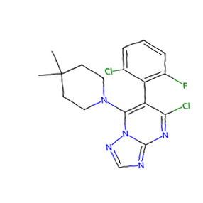 CC1(C)CCN(c2c(-c3c(F)cccc3Cl)c(Cl)nc3ncnn23)CC1